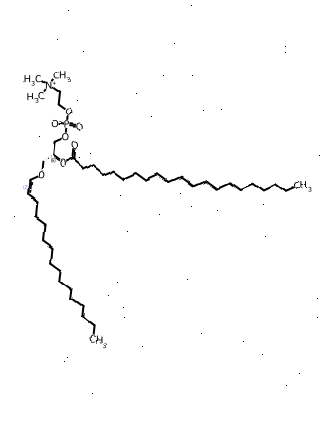 CCCCCCCCCCCCCC/C=C\OC[C@H](COP(=O)([O-])OCC[N+](C)(C)C)OC(=O)CCCCCCCCCCCCCCCCCCCC